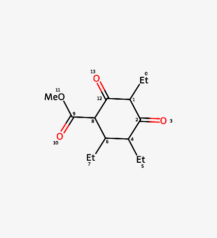 CCC1C(=O)C(CC)C(CC)C(C(=O)OC)C1=O